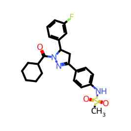 CS(=O)(=O)Nc1ccc(C2=NN(C(=O)C3CCCCC3)C(c3cccc(F)c3)C2)cc1